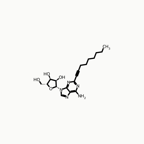 CCCCCCCC#Cc1nc(N)c2ncn([C@@H]3O[C@H](CO)[C@@H](O)[C@H]3O)c2n1